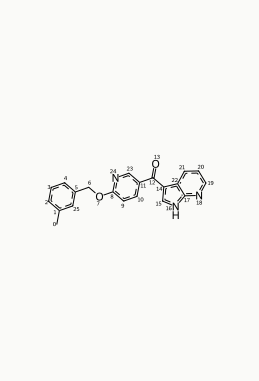 Cc1cccc(COc2ccc(C(=O)c3c[nH]c4ncccc34)cn2)c1